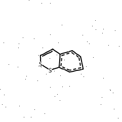 [C]1=Cc2ccccc2SS1